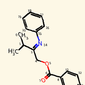 CC(C)C(COC(=O)c1ccccc1)=Nc1ccccc1